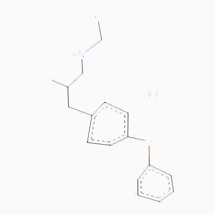 CC(CNCC(=O)O)Cc1ccc(Oc2ccccc2)cc1.Cl